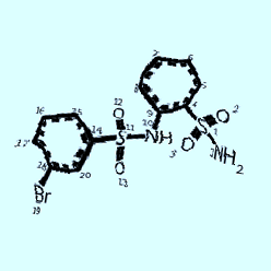 NS(=O)(=O)c1ccccc1NS(=O)(=O)c1cccc(Br)c1